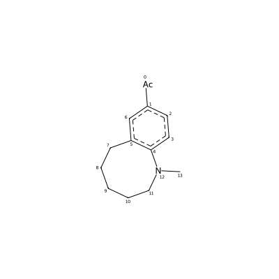 CC(=O)c1ccc2c(c1)CCCCCN2C